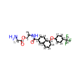 C[C@H](COC(=O)[C@H](C)N)NC(=O)c1ccc2c(Oc3ccc(C(F)(F)F)cc3)cccc2c1